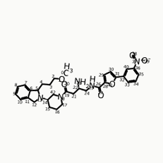 COCCCC1c2ccccc2CN1[C@@H]1CCCN(C(=O)C[C@@H](N)CNC(=O)c2ccc(-c3cccc([N+](=O)[O-])c3)o2)C1